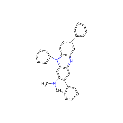 CN(C)c1cc2c(cc1-c1ccccc1)nc1cc(-c3ccccc3)ccc1[n+]2-c1ccccc1